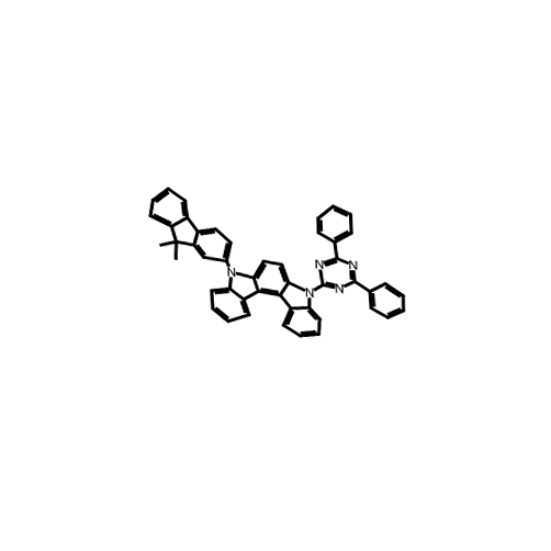 CC1(C)c2ccccc2-c2ccc(-n3c4ccccc4c4c5c6ccccc6n(-c6nc(-c7ccccc7)nc(-c7ccccc7)n6)c5ccc43)cc21